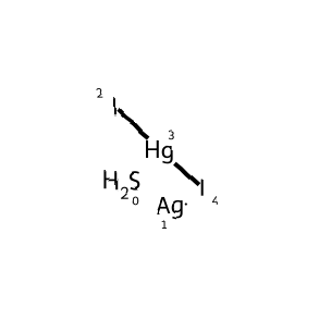 S.[Ag].[I][Hg][I]